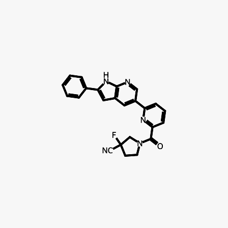 N#CC1(F)CCN(C(=O)c2cccc(-c3cnc4[nH]c(-c5ccccc5)cc4c3)n2)C1